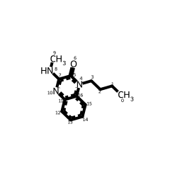 CCCCn1c(=O)c(NC)nc2ccccc21